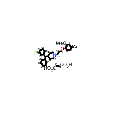 COc1cc(C(C)=O)ccc1OCCCN1CCC(C(c2cccc(F)c2)c2cccc(F)c2)CC1.O=C(O)/C=C/C(=O)O